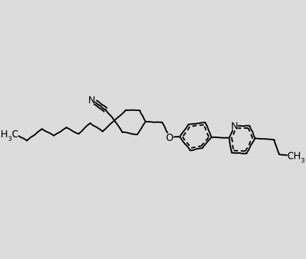 CCCCCCCCC1(C#N)CCC(COc2ccc(-c3ccc(CCC)cn3)cc2)CC1